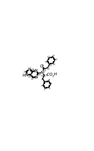 O=C(O)[C@H](Cc1ccccc1)N(C(=O)Cc1ccccc1)c1ncc2[nH]cnc2n1